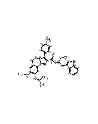 COc1cc2c(cc1OC(C)C)-c1cc(C(=O)N[C@@H](CO)Cc3c[nH]c4ccccc34)c(-c3ccc(N)nc3)n1CC2